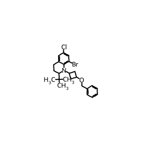 CC(C)(C)C1CCc2cc(Cl)cc(Br)c2N1C1CC(OCc2ccccc2)C1